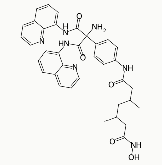 CC(CC(=O)NO)CC(C)CC(=O)Nc1ccc(C(N)(C(=O)Nc2cccc3cccnc23)C(=O)Nc2cccc3cccnc23)cc1